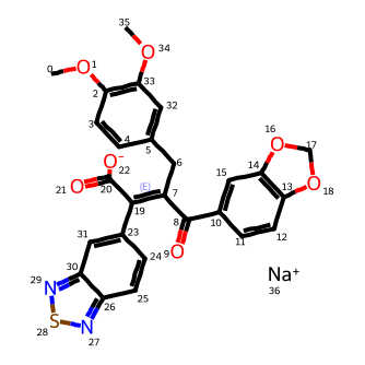 COc1ccc(C/C(C(=O)c2ccc3c(c2)OCO3)=C(\C(=O)[O-])c2ccc3nsnc3c2)cc1OC.[Na+]